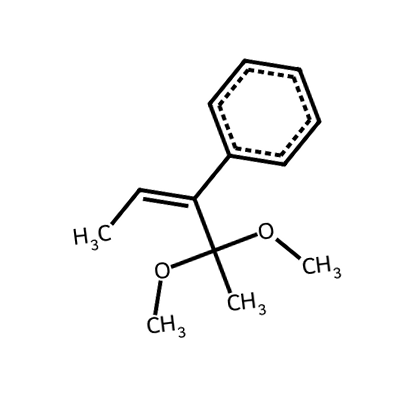 CC=C(c1ccccc1)C(C)(OC)OC